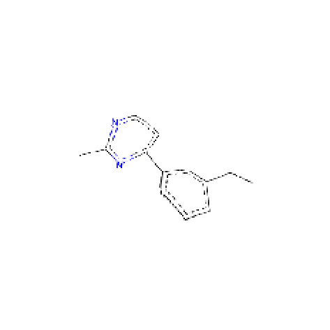 CCc1cccc(-c2ccnc(C)n2)c1